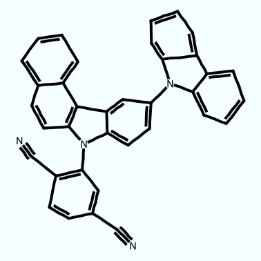 N#Cc1ccc(C#N)c(-n2c3ccc(-n4c5ccccc5c5ccccc54)cc3c3c4ccccc4ccc32)c1